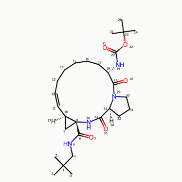 CC(C)(C)CNC(=O)[C@@]12C[C@H]1/C=C\CCCCC[C@H](NC(=O)OC(C)(C)C)C(=O)N1CCC[C@H]1C(=O)N2